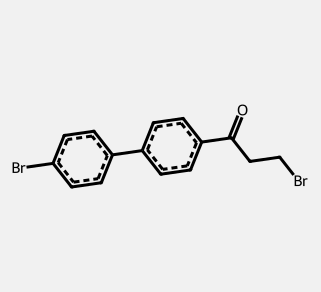 O=C(CCBr)c1ccc(-c2ccc(Br)cc2)cc1